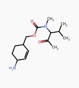 CC(=O)C(C(C)C)N(C)C(=O)OCC1C=CC(N)CC1